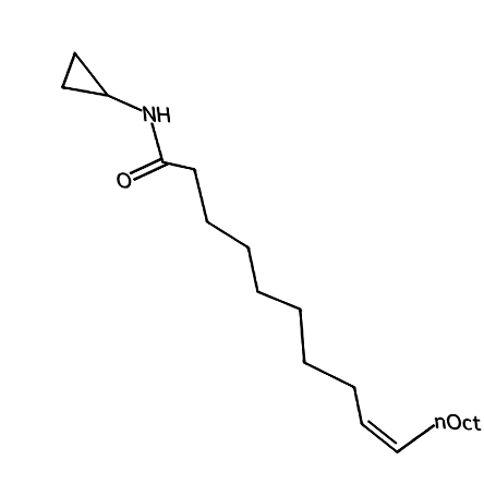 CCCCCCCC/C=C\CCCCCCCC(=O)NC1CC1